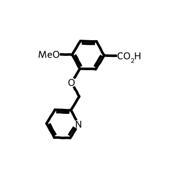 COc1ccc(C(=O)O)cc1OCc1ccccn1